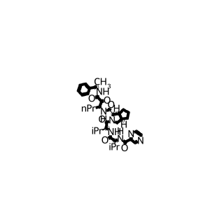 CCCC(NC(=O)[C@@H]1[C@H]2CCC[C@H]2CN1C(=O)[C@@H](NC(=O)[C@H](NC(=O)c1cnccn1)C(C)C)C(C)C)C(=O)C(=O)N[C@H](C)c1ccccc1